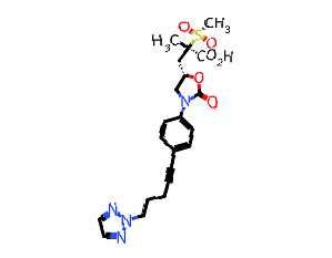 C[C@@](C[C@H]1CN(c2ccc(C#CCCCn3nccn3)cc2)C(=O)O1)(C(=O)O)S(C)(=O)=O